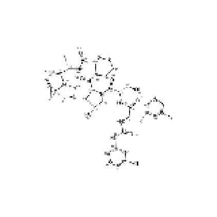 Cc1cccc(C[C@H](NC(=O)Nc2cccc(Cl)c2)C(=O)N[C@@H](CO)C(=O)N2C[C@H](O)C[C@H]2C(=O)N2CCCC[C@H]2C(=O)N[C@@H](C)C(=O)N2CCC[C@@]23CC3=O)c1